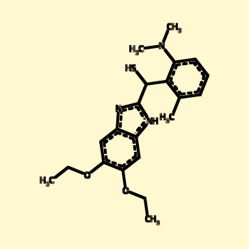 CCOc1cc2nc(C(S)c3c(C)cccc3N(C)C)[nH]c2cc1OCC